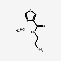 Cl.Cl.NCCNC(=O)c1cscn1